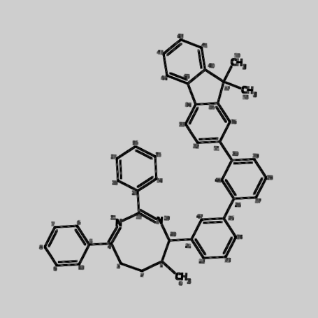 CC1CC/C(c2ccccc2)=N\C(c2ccccc2)=N/C1c1cccc(-c2cccc(-c3ccc4c(c3)C(C)(C)c3ccccc3-4)c2)c1